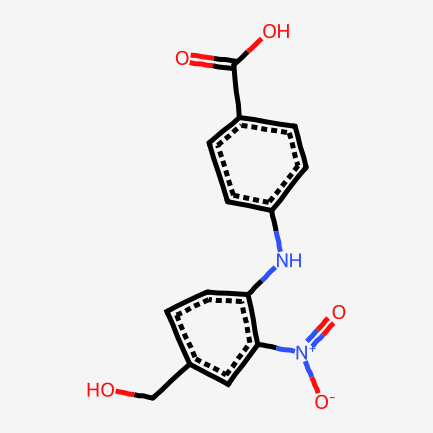 O=C(O)c1ccc(Nc2ccc(CO)cc2[N+](=O)[O-])cc1